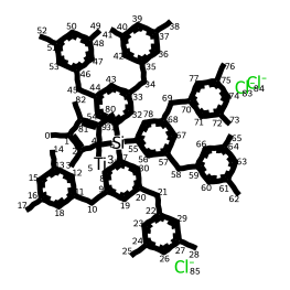 CC1=C(C)[C]([Ti+3])([Si](c2cc(Cc3cc(C)cc(C)c3)cc(Cc3cc(C)cc(C)c3)c2)(c2cc(Cc3cc(C)cc(C)c3)cc(Cc3cc(C)cc(C)c3)c2)c2cc(Cc3cc(C)cc(C)c3)cc(Cc3cc(C)cc(C)c3)c2)C(C)=C1C.[Cl-].[Cl-].[Cl-]